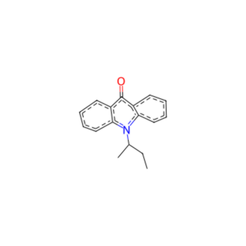 CCC(C)n1c2ccccc2c(=O)c2ccccc21